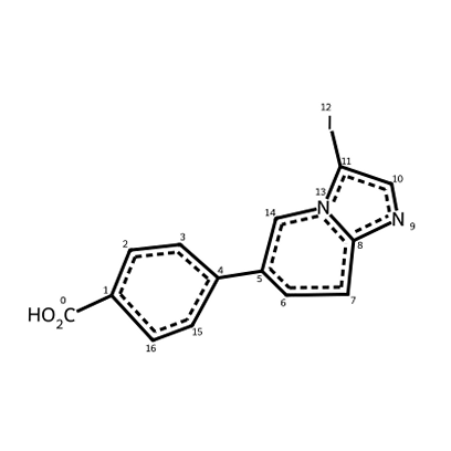 O=C(O)c1ccc(-c2ccc3ncc(I)n3c2)cc1